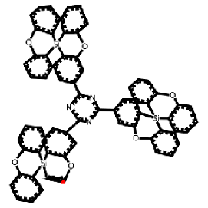 c1ccc2c(c1)Oc1ccccc1[Si]21c2ccccc2Oc2cc(-c3nc(-c4ccc5c(c4)Oc4ccccc4[Si]54c5ccccc5Oc5ccccc54)nc(-c4ccc5c(c4)Oc4ccccc4[Si]54c5ccccc5Oc5ccccc54)n3)ccc21